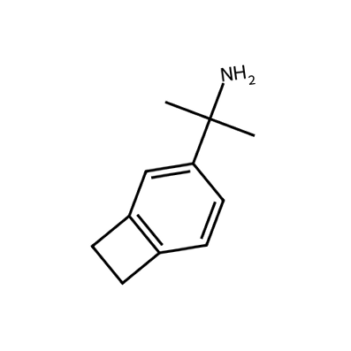 CC(C)(N)c1ccc2c(c1)CC2